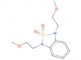 COCCN1c2ccccc2N(CCOC)S1(=O)=O